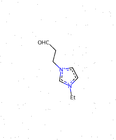 CCn1cc[n+](CCC=O)c1